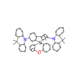 CC1(C)c2ccccc2N(c2ccc3c(c2)[Si]2(c4ccccc4Oc4ccccc42)c2cc(N4c5ccccc5C(C)(C)c5ccccc54)ccc2-3)c2ccccc21